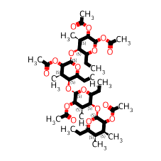 CCC1O[C@@H](O[C@@H]2C(CC)O[C@@H](O[C@@H]3C(CC)O[C@@H](O[C@@H]4C(CC)OC(OC(C)=O)C(OC(C)=O)[C@H]4C)C(OC(C)=O)[C@H]3C)C(OC(C)=O)[C@H]2C)C(OC(C)=O)[C@@H](C)[C@@H]1C